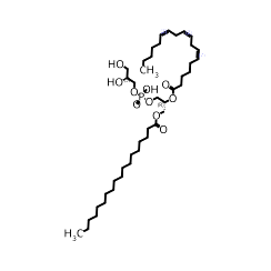 CCCCC/C=C\C/C=C\C/C=C\CCCCC(=O)O[C@H](COC(=O)CCCCCCCCCCCCCCCCC)COP(=O)(O)OC[C@@H](O)CO